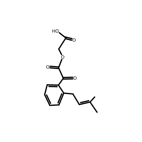 CC(C)=CCc1ccccc1C(=O)C(=O)OCC(=O)O